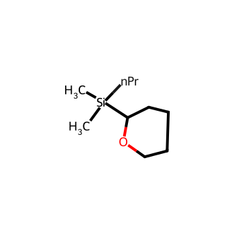 CCC[Si](C)(C)C1CCCCO1